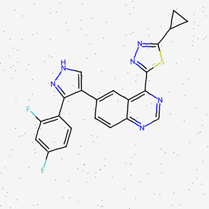 Fc1ccc(-c2n[nH]cc2-c2ccc3ncnc(-c4nnc(C5CC5)s4)c3c2)c(F)c1